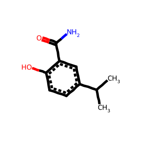 CC(C)c1ccc(O)c(C(N)=O)c1